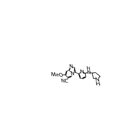 COc1cc2ncc(-c3cccc(NC4CCNC4)n3)n2cc1C#N